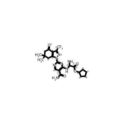 CC1(C)CC(=O)c2c(C(F)(F)F)nn(-c3ncc(C(N)=O)c(NC(N)C(=O)OC4CCCC4)n3)c2C1